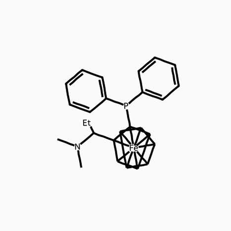 CCC(N(C)C)[C]12[CH]3[CH]4[CH]5[C]1(P(c1ccccc1)c1ccccc1)[Fe]43521678[CH]2[CH]1[CH]6[CH]7[CH]28